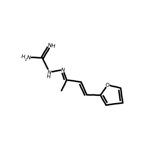 CC(/C=C/c1ccco1)=N\NC(=N)N